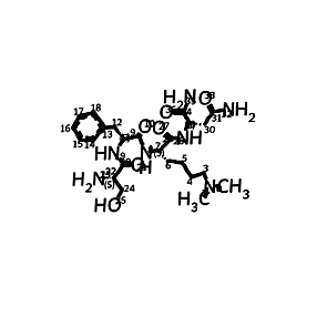 CN(C)CCCC[C@H](NC(=O)[C@H](Cc1ccccc1)NC(=O)[C@@H](N)CO)C(=O)N[C@@H](CC(N)=O)C(N)=O